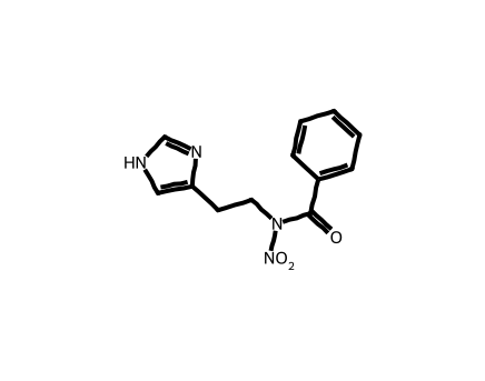 O=C(c1ccccc1)N(CCc1c[nH]cn1)[N+](=O)[O-]